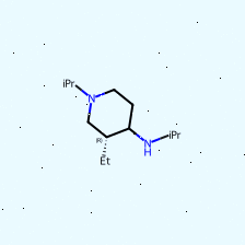 CC[C@@H]1CN(C(C)C)CCC1NC(C)C